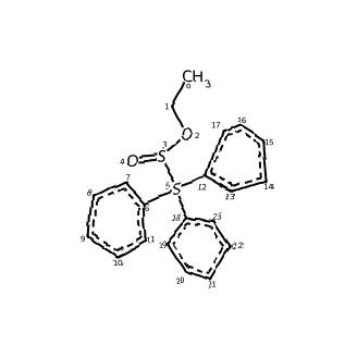 CCOS(=O)S(c1ccccc1)(c1ccccc1)c1ccccc1